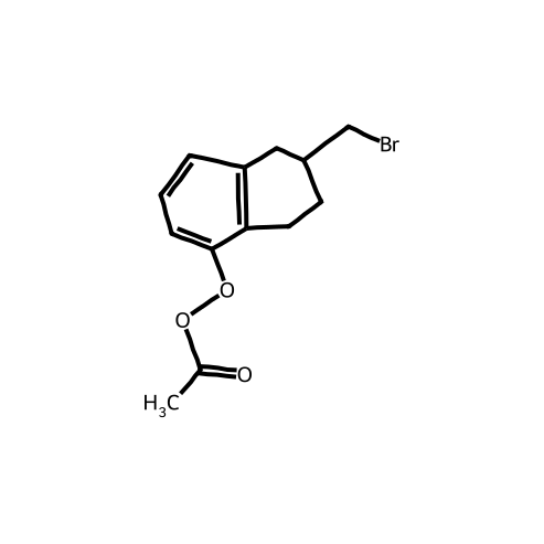 CC(=O)OOc1cccc2c1CCC(CBr)C2